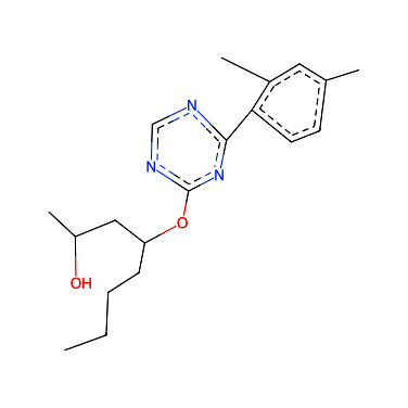 CCCCC(CC(C)O)Oc1ncnc(-c2ccc(C)cc2C)n1